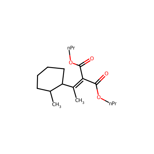 CCCOC(=O)C(C(=O)OCCC)=C(C)C1CCCCC1C